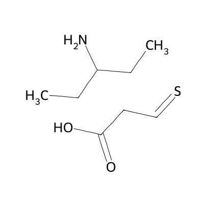 CCC(N)CC.O=C(O)CC=S